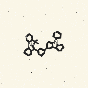 CC1(C)c2ccccc2-n2c1c(-c1cccc(-c3ccc4c(c3)c3ccccc3n4-c3ccccc3)c1)c1ccccc12